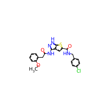 COc1ccccc1CC(=O)Nc1n[nH]c2sc(C(=O)NCc3ccc(Cl)cc3)cc12